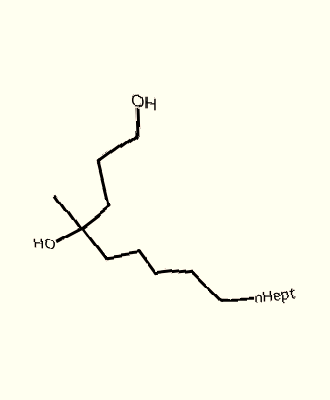 CCCCCCCCCCCCC(C)(O)CCCO